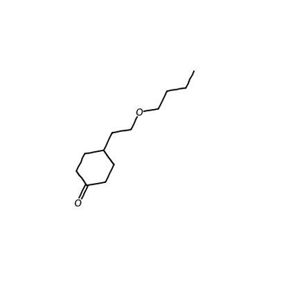 CCCCOCCC1CCC(=O)CC1